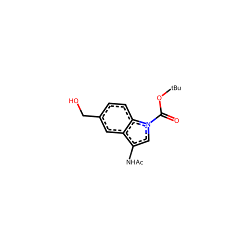 CC(=O)Nc1cn(C(=O)OC(C)(C)C)c2ccc(CO)cc12